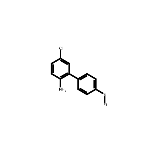 CCSc1ccc(-c2cc(Cl)ccc2N)cc1